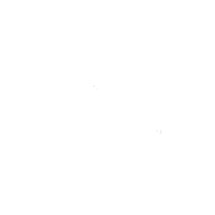 c1ccc(Nc2ccc(N3c4ccccc4Oc4ccccc43)cc2)cc1